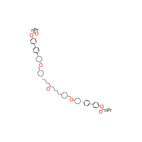 CCCC(=O)Oc1ccc(-c2ccc([C@H]3CC[C@H](OCC4CCC(CCCCC(=O)CCCC[C@H]5CC[C@H](CO[C@H]6CC[C@H](c7ccc(-c8ccc(OC(=O)CCC)cc8)cc7)CC6)CC5)CC4)CC3)cc2)cc1